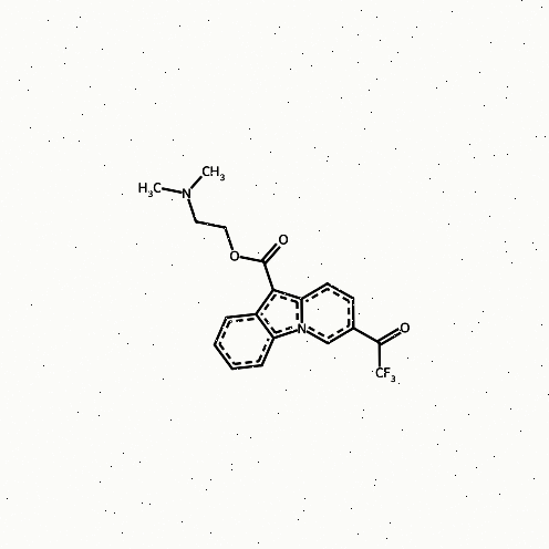 CN(C)CCOC(=O)c1c2ccccc2n2cc(C(=O)C(F)(F)F)ccc12